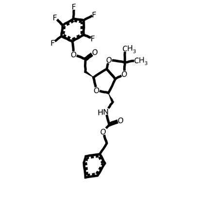 CC1(C)OC2C(O1)[C@@H](CNC(=O)OCc1ccccc1)O[C@H]2CC(=O)Oc1c(F)c(F)c(F)c(F)c1F